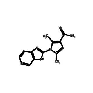 Cc1cc(C(N)=O)c(C)n1-c1nc2ccncc2[nH]1